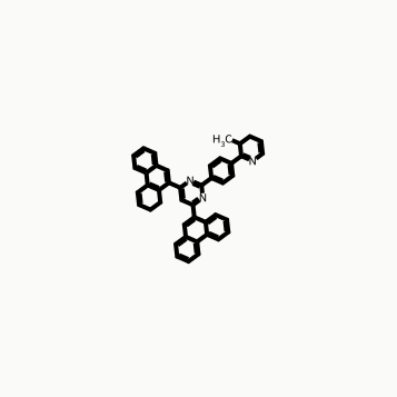 CC1CC=CN=C1c1ccc(-c2nc(-c3cc4ccccc4c4c3CCC=C4)cc(-c3cc4ccccc4c4ccccc34)n2)cc1